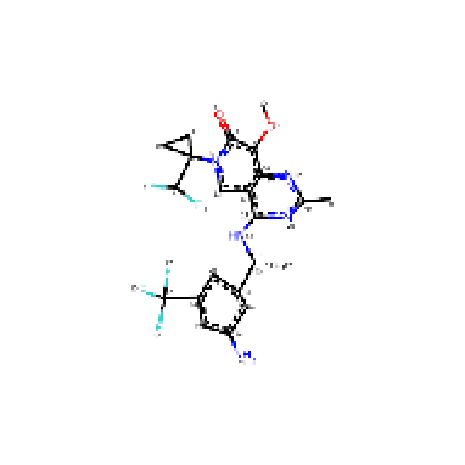 COc1c(=O)n(C2(C(F)F)CC2)cc2c(N[C@H](C)c3cc(N)cc(C(F)(F)F)c3)nc(C)nc12